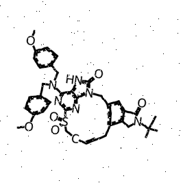 COc1ccc(CN(Cc2ccc(OC)cc2)c2nc3nc4c2[nH]c(=O)n4Cc2cc(c4c(c2)C(=O)N(C(C)(C)C)C4)CC=CCCS3(=O)=O)cc1